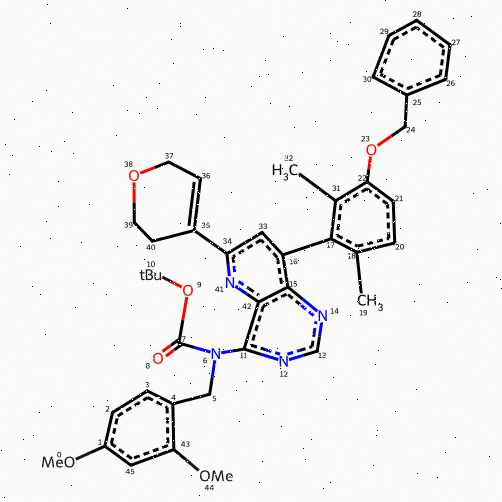 COc1ccc(CN(C(=O)OC(C)(C)C)c2ncnc3c(-c4c(C)ccc(OCc5ccccc5)c4C)cc(C4=CCOCC4)nc23)c(OC)c1